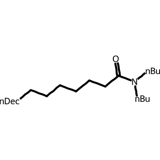 CCCCCCCCCCCCCCCCC(=O)N(CCCC)CCCC